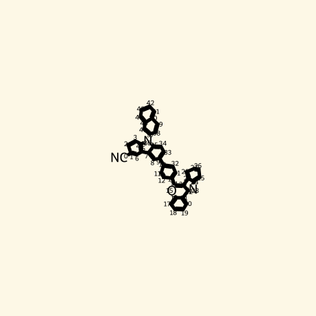 N#Cc1ccc2c(c1)c1cc(-c3ccc(-c4oc5ccccc5c5nc6ccccc6c4-5)cc3)ccc1n2-c1ccc2ccccc2c1